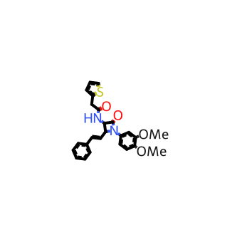 COc1ccc(N2C(=O)C(NC(=O)Cc3cccs3)C2C=Cc2ccccc2)cc1OC